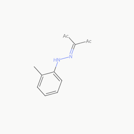 CC(=O)C(=NNc1ccccc1C)C(C)=O